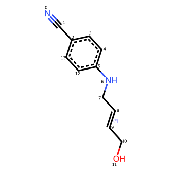 N#Cc1ccc(NC/C=C/CO)cc1